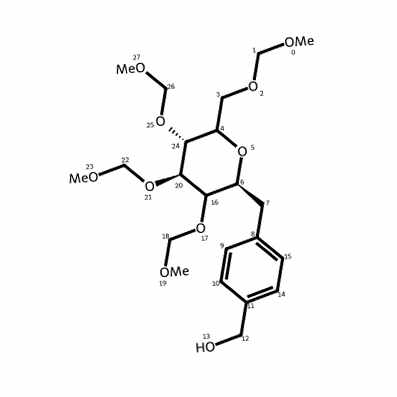 COCOCC1O[C@@H](Cc2ccc(CO)cc2)C(OCOC)[C@@H](OCOC)[C@@H]1OCOC